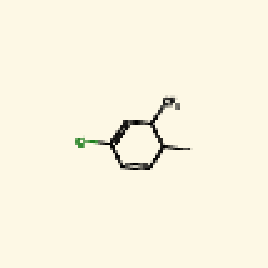 CC1C=CC(Cl)=CC1C(F)(F)F